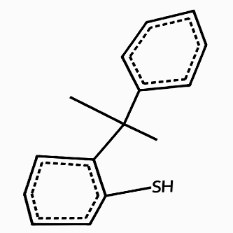 CC(C)(c1ccccc1)c1ccccc1S